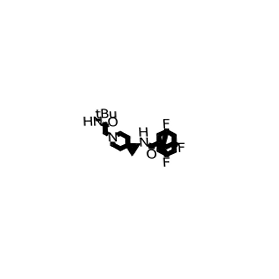 CC(C)(C)NC(=O)CN1CCC2(CC1)C[C@H]2NC(=O)C12CC3(F)CC(F)(CC(F)(C3)C1)C2